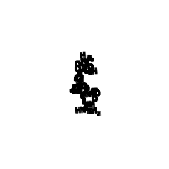 CC(C)CC(C(=O)NC(CCCNC(=N)N)C(=O)NC1CCOC1=O)N1CCN(C(=O)C(CS)N2C(=O)NC(C(C)C)C2=O)CC1